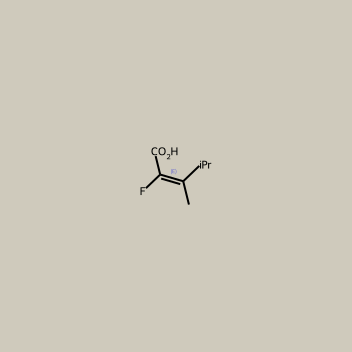 C/C(=C(\F)C(=O)O)C(C)C